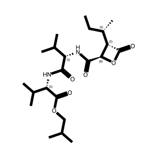 CC[C@H](C)[C@@H]1C(=O)O[C@H]1C(=O)N[C@H](C(=O)N[C@H](C(=O)OCC(C)C)C(C)C)C(C)C